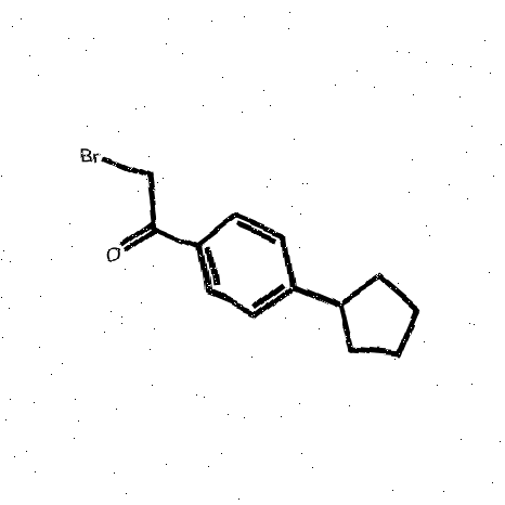 O=C(CBr)c1ccc(C2CCCC2)cc1